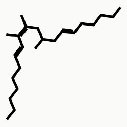 CCCCCC=CCC(C)CC(C)=C(C)C=CCCCCCC